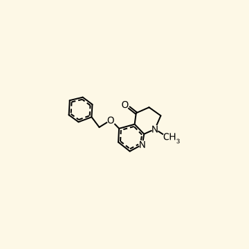 CN1CCC(=O)c2c(OCc3ccccc3)ccnc21